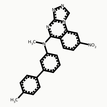 Cc1ccc(-c2cccc(N(C)c3nc4nncn4c4cc([N+](=O)[O-])ccc34)c2)cc1